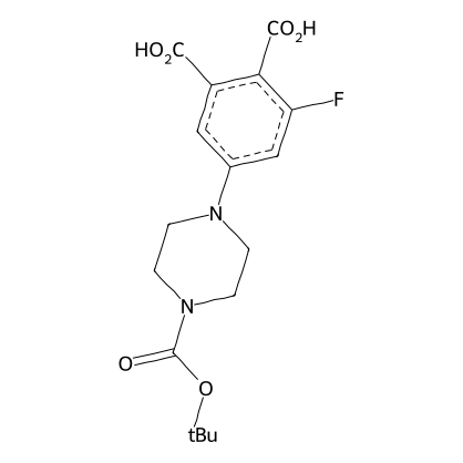 CC(C)(C)OC(=O)N1CCN(c2cc(F)c(C(=O)O)c(C(=O)O)c2)CC1